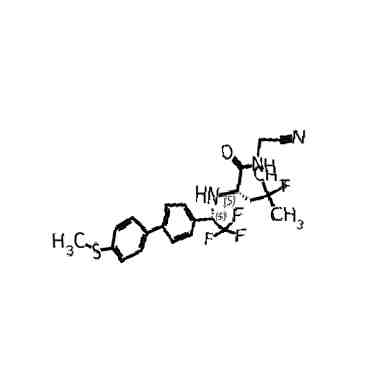 CSc1ccc(-c2ccc([C@H](N[C@@H](CC(C)(C)F)C(=O)NCC#N)C(F)(F)F)cc2)cc1